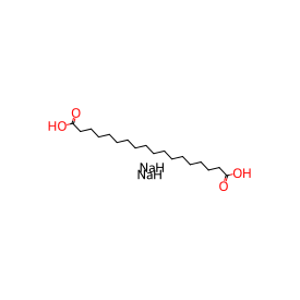 O=C(O)CCCCCCCCCCCCCCCCC(=O)O.[NaH].[NaH]